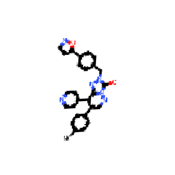 N#Cc1ccc(-c2cnn3c(=O)n(Cc4ccc(-c5ccno5)cc4)nc3c2-c2ccncc2)cc1